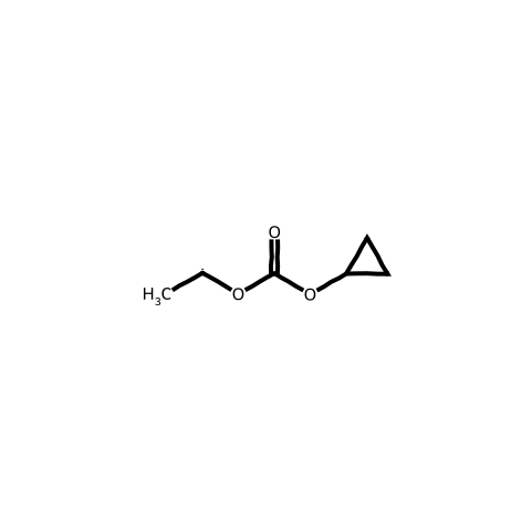 C[CH]OC(=O)OC1CC1